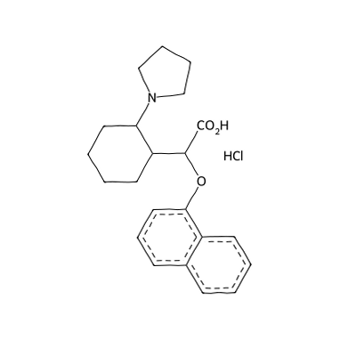 Cl.O=C(O)C(Oc1cccc2ccccc12)C1CCCCC1N1CCCC1